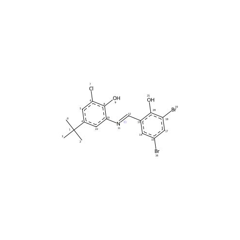 CC(C)(C)c1cc(Cl)c(O)c(/N=C/c2cc(Br)cc(Br)c2O)c1